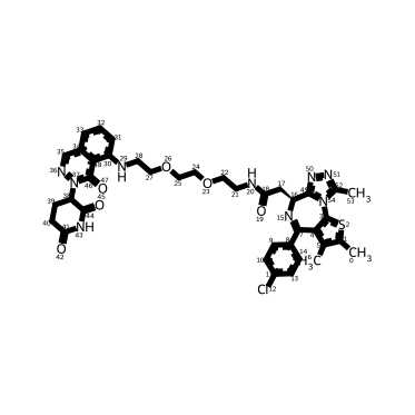 Cc1sc2c(c1C)C(c1ccc(Cl)cc1)=N[C@@H](CC(=O)NCCOCCOCCNc1cccc3cnn(C4CCC(=O)NC4=O)c(=O)c13)c1nnc(C)n1-2